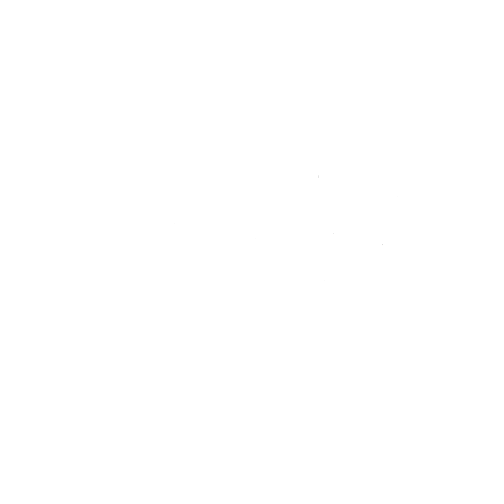 c1ccc2c(c1)Oc1cccc3c1B2c1cc(-c2c4ccccc4cc4c2ccc2ccccc24)ccc1O3